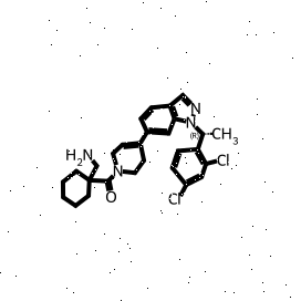 C[C@H](c1ccc(Cl)cc1Cl)n1ncc2ccc(C3=CCN(C(=O)C4(CN)CCCCC4)CC3)cc21